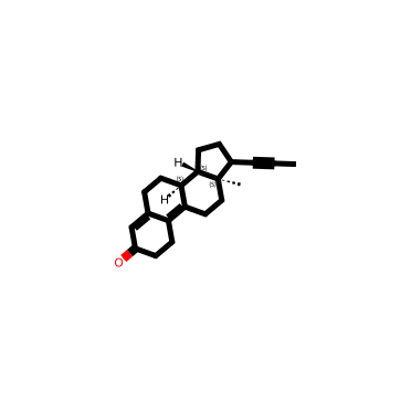 CC#CC1CC[C@H]2[C@@H]3CCC4=CC(=O)CCC4=C3CC[C@]12C